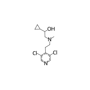 CN(CCc1c(Cl)cncc1Cl)CC(O)C1CC1